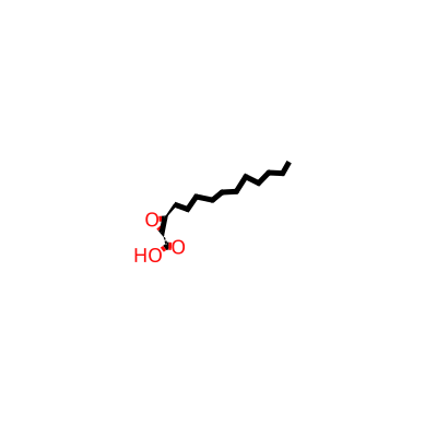 CCCCCCCCCCC[C@@H]1O[C@H]1C(=O)O